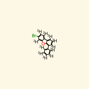 [2H]c1c([2H])c([2H])c(-c2c([2H])c([2H])c([2H])c3c2oc2c([2H])c(Br)c([2H])c([2H])c23)c([2H])c1[2H]